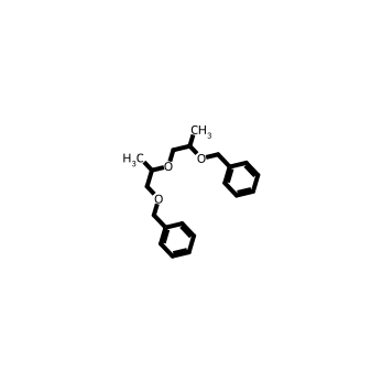 CC(COCc1ccccc1)OCC(C)OCc1ccccc1